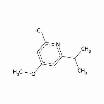 COc1cc(Cl)nc(C(C)C)c1